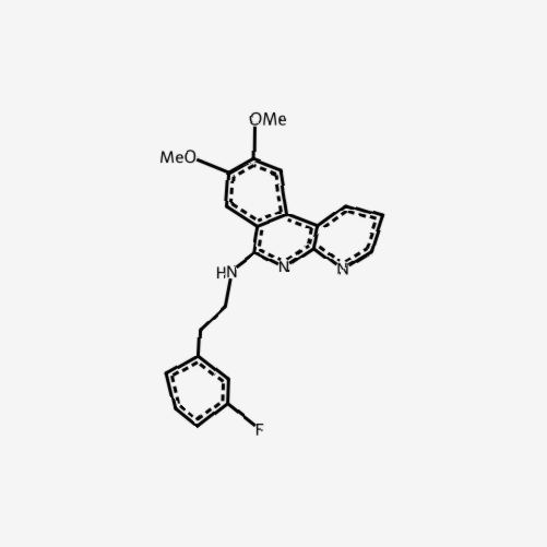 COc1cc2c(NCCc3cccc(F)c3)nc3ncccc3c2cc1OC